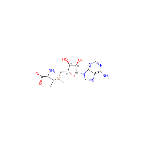 CC(C(N)C(=O)[O-])[S+](C)C[C@H]1O[C@@H](n2cnc3c(N)ncnc32)[C@H](O)[C@@H]1O